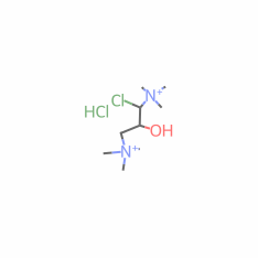 C[N+](C)(C)CC(O)C(Cl)[N+](C)(C)C.Cl